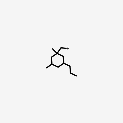 CCCC1CC(C)CC(C)(CF)C1